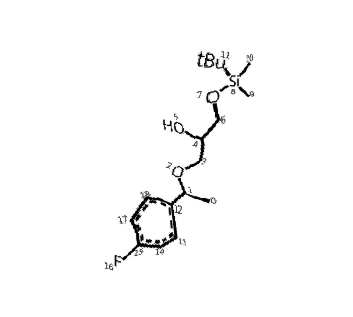 C[C@H](OCC(O)CO[Si](C)(C)C(C)(C)C)c1ccc(F)cc1